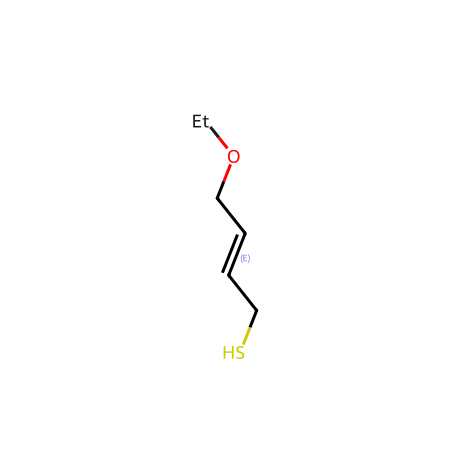 CCOC/C=C/CS